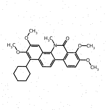 COc1cc2c(ccc3c4ccc(OC)c(OC)c4c(=O)n(C)c23)c(C2CCCCC2)c1OC